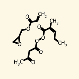 C=CC(=O)OCC1CO1.CCC=C(C)C(=O)OOC(=O)CC(C)=O